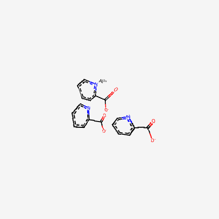 O=C([O-])c1ccccn1.O=C([O-])c1ccccn1.O=C([O-])c1ccccn1.[Al+3]